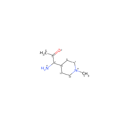 CC(=O)C(N)C1CCN(C)CC1